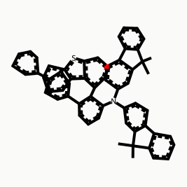 CC1(C)c2ccccc2-c2ccc(N(c3ccc4c(c3)C(C)(C)c3ccccc3-4)c3cccc(-c4ccc(-c5ccccc5)cc4)c3-c3cccc4sc5ccccc5c34)cc21